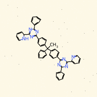 CC(c1ccccc1)(c1ccc(-c2nc(-c3ccccc3)nc(-c3ccccn3)n2)cc1)c1ccc(-c2nc(-c3ccccc3)nc(C3C=CC=CN3)n2)cc1